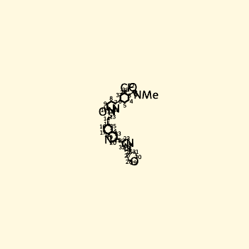 CNC(=O)c1ccc(-c2ccc(=O)n(CCc3ccc4ncc(-c5cnn(C6CCOCC6)c5)cc4c3)n2)cc1C(F)(F)F